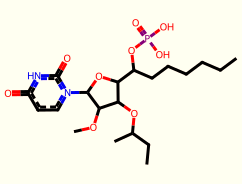 CCCCCCC(OP(=O)(O)O)C1OC(n2ccc(=O)[nH]c2=O)C(OC)C1OC(C)CC